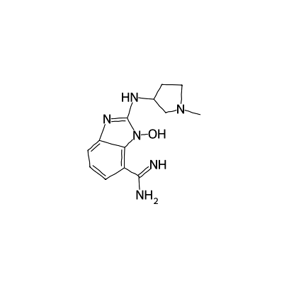 CN1CCC(Nc2nc3cccc(C(=N)N)c3n2O)C1